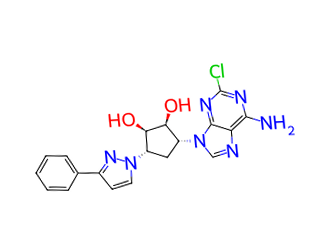 Nc1nc(Cl)nc2c1ncn2[C@@H]1C[C@H](n2ccc(-c3ccccc3)n2)[C@@H](O)[C@H]1O